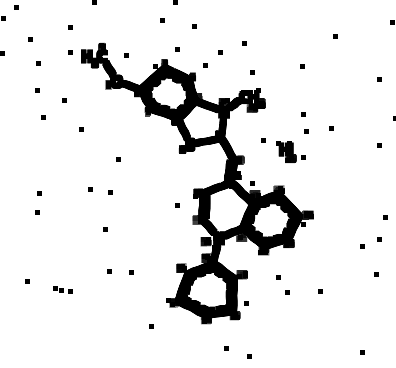 COc1ccc2c(c1)SC(C=C1C=CN(c3ccccc3)c3ccccc31)N2C.I